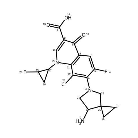 NC1CN(c2c(F)cc3c(=O)c(C(=O)O)cn(C4CC4F)c3c2Cl)CC12CC2